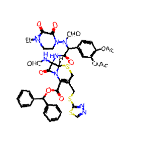 CCN1CCN(N(C=O)C(C(=O)N[C@]2(NC=O)C(=O)N3C(C(=O)OC(c4ccccc4)c4ccccc4)=C(CSc4nncs4)CS[C@H]32)c2ccc(OC(C)=O)c(OC(C)=O)c2)C(=O)C1=O